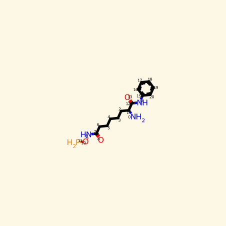 NC(CCCCCC(=O)NOP)C(=O)Nc1ccccc1